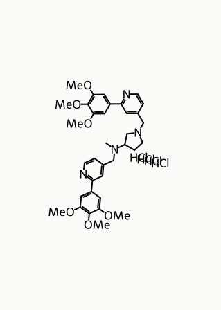 COc1cc(-c2cc(CN3CCC(N(C)Cc4ccnc(-c5cc(OC)c(OC)c(OC)c5)c4)C3)ccn2)cc(OC)c1OC.Cl.Cl.Cl.Cl